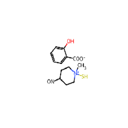 C[N+]1(S)CCC(N=O)CC1.O=C([O-])c1ccccc1O